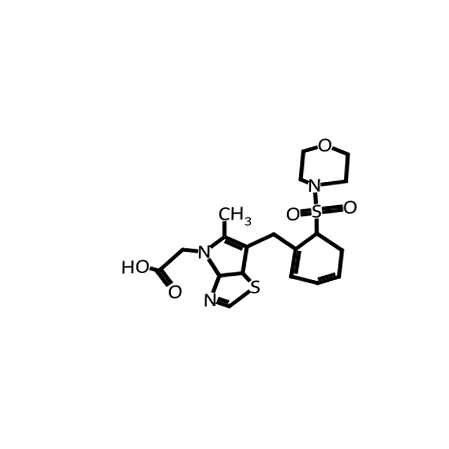 CC1=C(CC2=CC=CCC2S(=O)(=O)N2CCOCC2)C2SC=NC2N1CC(=O)O